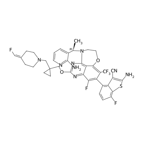 C[C@H](c1cccnc1N)N1CCOc2c(C(F)(F)F)c(-c3ccc(F)c4sc(N)c(C#N)c34)c(F)c3nc(OCC4(CN5CCC(=CF)CC5)CC4)nc1c23